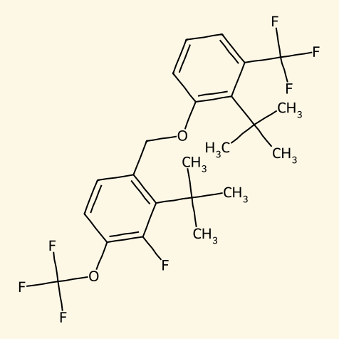 CC(C)(C)c1c(OCc2ccc(OC(F)(F)F)c(F)c2C(C)(C)C)cccc1C(F)(F)F